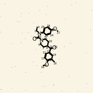 CCN(C(=O)N1CCC(C(=O)c2ccc(OC)c(C)c2)CC1)c1ccc(OC)cc1